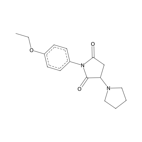 CCOc1ccc(N2C(=O)CC(N3CCCC3)C2=O)cc1